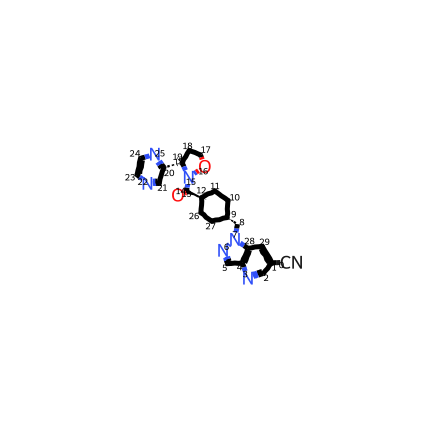 N#Cc1cnc2cnn(C[C@H]3CC[C@H](C(=O)N4OCC[C@H]4c4cnccn4)CC3)c2c1